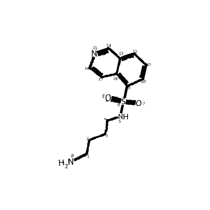 NCCCCNS(=O)(=O)c1cccc2cnccc12